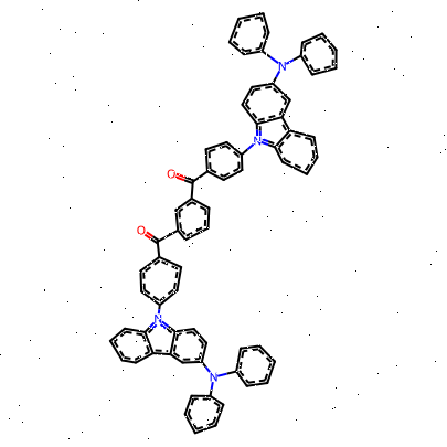 O=C(c1ccc(-n2c3ccccc3c3cc(N(c4ccccc4)c4ccccc4)ccc32)cc1)c1cccc(C(=O)c2ccc(-n3c4ccccc4c4cc(N(c5ccccc5)c5ccccc5)ccc43)cc2)c1